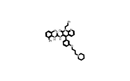 CC(C)CCn1c(=O)c(NC(=O)Nc2c(C(C)C)cccc2C(C)C)c(-c2cccc(OCCCN3CCCCC3)c2)c2cccnc21